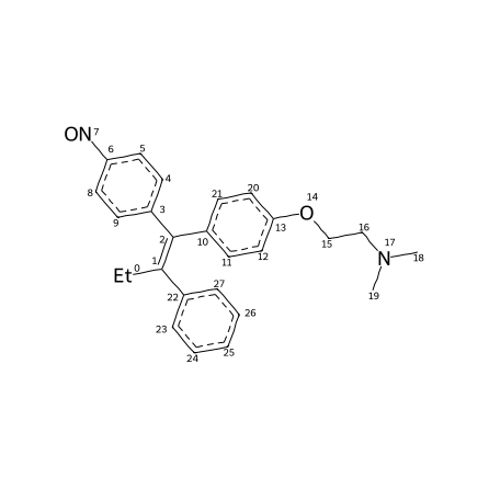 CC/C(=C(\c1ccc(N=O)cc1)c1ccc(OCCN(C)C)cc1)c1ccccc1